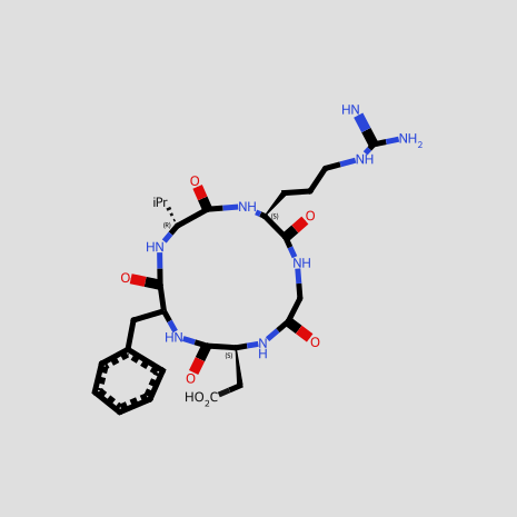 CC(C)[C@H]1NC(=O)C(Cc2ccccc2)NC(=O)[C@H](CC(=O)O)NC(=O)CNC(=O)[C@H](CCCNC(=N)N)NC1=O